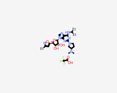 CCc1cc([C@H]2O[C@@H](n3cnc4c(NC(CC)CC)nc(N5CC[C@@H](N(C)C)C5)nc43)[C@H](O)[C@@H]2O)on1.O=C(O)C(F)(F)F